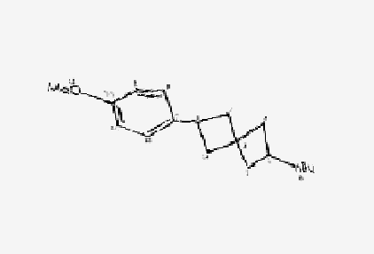 CCCCC1CC2(C1)CC(c1ccc(OC)cc1)C2